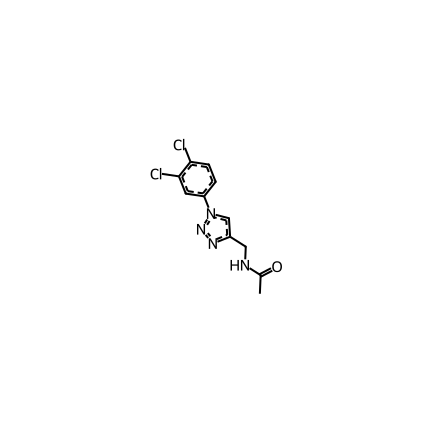 CC(=O)NCc1cn(-c2ccc(Cl)c(Cl)c2)nn1